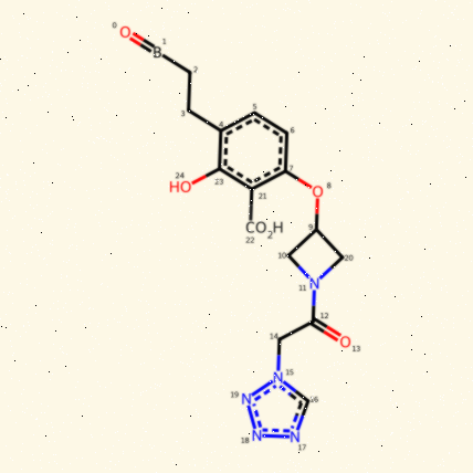 O=BCCc1ccc(OC2CN(C(=O)Cn3cnnn3)C2)c(C(=O)O)c1O